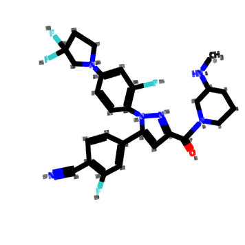 CNC1CCCN(C(=O)c2cc(-c3ccc(C#N)c(F)c3)n(-c3ccc(N4CCC(F)(F)C4)cc3F)n2)C1